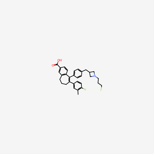 Cc1cc(C2=C(c3ccc(CC4CN(CCCF)C4)cc3)c3ccc(C(=O)O)cc3CCC2)ccc1F